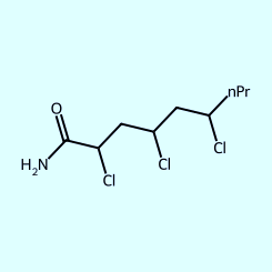 CCCC(Cl)CC(Cl)CC(Cl)C(N)=O